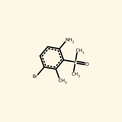 Cc1c(Br)ccc(N)c1P(C)(C)=O